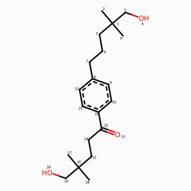 CC(C)(CO)CCCc1ccc(C(=O)CCC(C)(C)CO)cc1